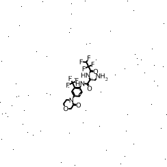 NC[C@H](NC(=O)C(F)(F)C(F)F)C(=O)Nc1ccc(N2CCOCC2=O)cc1C(F)(F)F